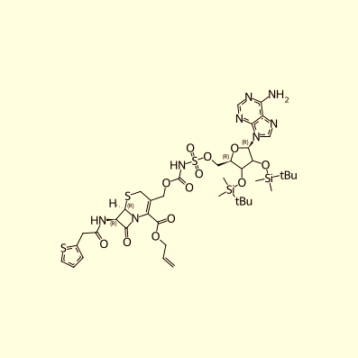 C=CCOC(=O)C1=C(COC(=O)NS(=O)(=O)OC[C@H]2O[C@@H](n3cnc4c(N)ncnc43)C(O[Si](C)(C)C(C)(C)C)C2O[Si](C)(C)C(C)(C)C)CS[C@@H]2[C@H](NC(=O)Cc3cccs3)C(=O)N12